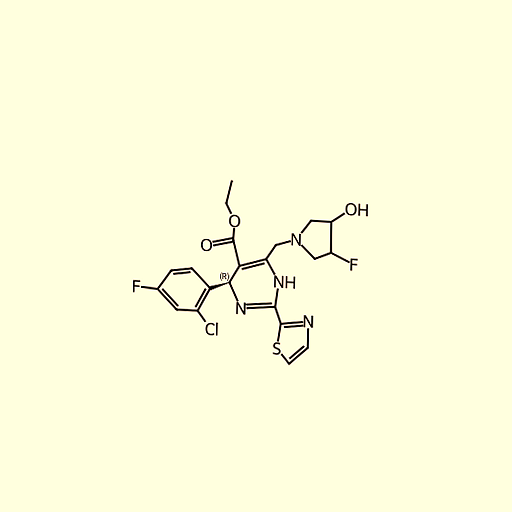 CCOC(=O)C1=C(CN2CC(O)C(F)C2)NC(c2nccs2)=N[C@H]1c1ccc(F)cc1Cl